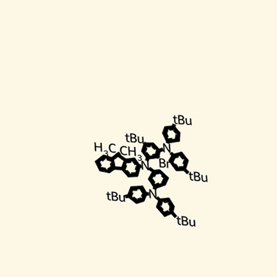 CC(C)(C)c1ccc(N(c2ccc(C(C)(C)C)cc2)c2cccc(N(c3ccc4c(c3)C(C)(C)c3ccccc3-4)c3cc(C(C)(C)C)cc(N(c4ccc(C(C)(C)C)cc4)c4ccc(C(C)(C)C)cc4)c3Br)c2)cc1